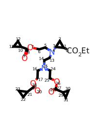 CCOC(=O)C1CC1N(CCOC(=O)C1CC1)CCN(CCOC(=O)C1CC1)CCOC(=O)C1CC1